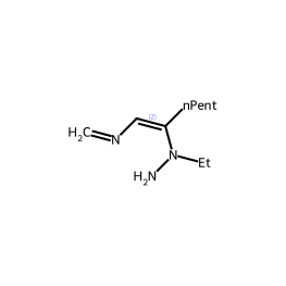 C=N/C=C(/CCCCC)N(N)CC